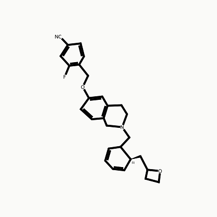 N#Cc1ccc(COc2ccc3c(c2)CCN(CC2C=CC=C[C@@H]2CC2CCO2)C3)c(F)c1